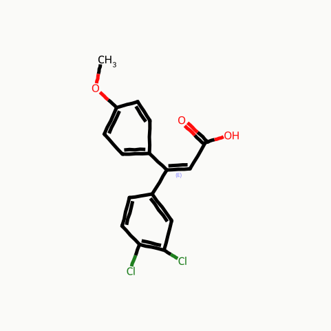 COc1ccc(/C(=C\C(=O)O)c2ccc(Cl)c(Cl)c2)cc1